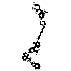 Cc1c(OCCCCCCCN2CCN(c3ccc4c(C5CCC(=O)NC5=O)nn(C)c4c3)CC2)cccc1-c1ccc(N2CCc3cccc(C(=O)Nc4nc5ccccc5s4)c3C2)nc1C(=O)O